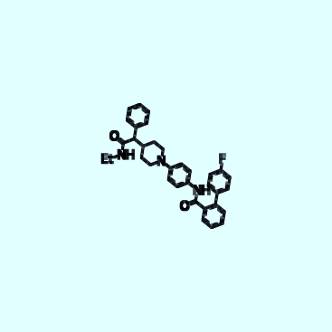 CCNC(=O)C(c1ccccc1)C1CCN(c2ccc(NC(=O)c3ccccc3-c3ccc(F)cc3)cc2)CC1